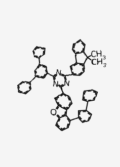 CC1(C)c2ccccc2-c2cc(-c3nc(-c4cc(-c5ccccc5)cc(-c5ccccc5)c4)nc(-c4ccc5c(c4)oc4cccc(-c6cccc(-c7ccccc7)c6)c45)n3)ccc21